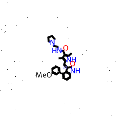 COc1cccc(-c2cccc3c2/C(=C/c2[nH]c(C)c(C(=O)NCCN4CCCC4)c2C)C(=O)N3)c1